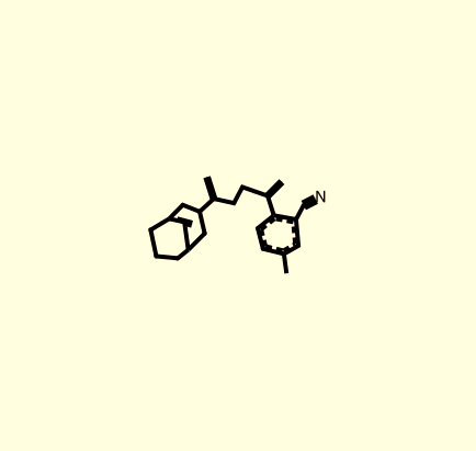 C=C(CCC(=C)C1CC2CCCC(C1)C2=C)c1ccc(C)cc1C#N